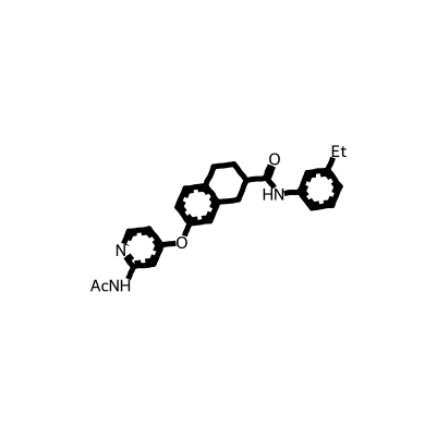 CCc1cccc(NC(=O)C2CCc3ccc(Oc4ccnc(NC(C)=O)c4)cc3C2)c1